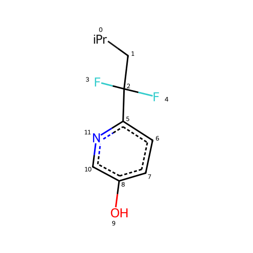 CC(C)CC(F)(F)c1ccc(O)cn1